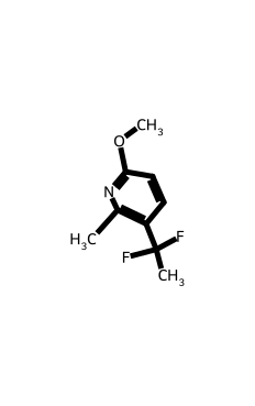 COc1ccc(C(C)(F)F)c(C)n1